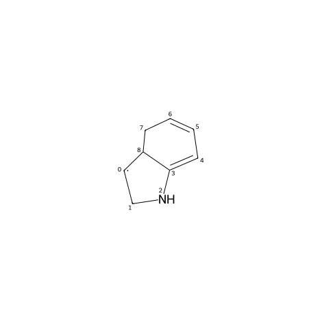 [CH]1CNC2=CC=CCC12